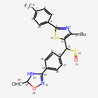 CCCCc1nc(-c2ccc(C(F)(F)F)cc2)sc1C([S+]=O)c1ccc(C2=NOC(C=O)N2)cc1